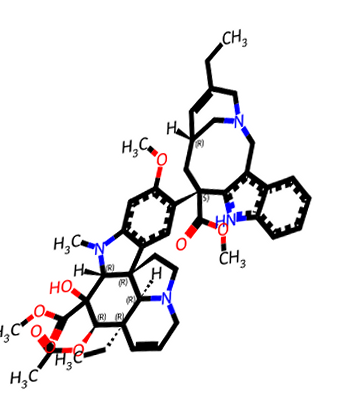 CCC1=C[C@@H]2CN(C1)Cc1c([nH]c3ccccc13)[C@@](C(=O)OC)(c1cc3c(cc1OC)N(C)[C@H]1C(O)(C(=O)OC)[C@H](OC(C)=O)[C@]4(CC)C=CCN5CC[C@]31[C@@H]54)C2